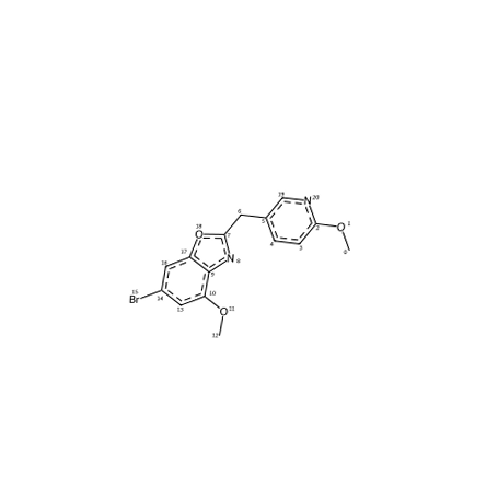 COc1ccc(Cc2nc3c(OC)cc(Br)cc3o2)cn1